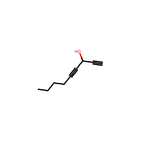 C#CC(O)C#CCCCC